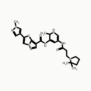 CC1NC=C(NC(=O)CCN2CCCC2(C)C)C=C1NC(=O)c1cnn2cc(-c3cnn(C)c3)sc12